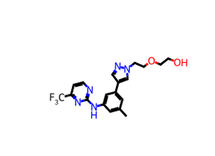 Cc1cc(Nc2nccc(C(F)(F)F)n2)cc(-c2cnn(CCOCCO)c2)c1